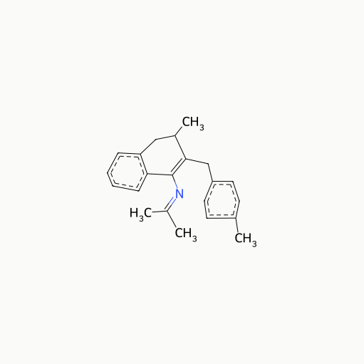 CC(C)=NC1=C(Cc2ccc(C)cc2)C(C)Cc2ccccc21